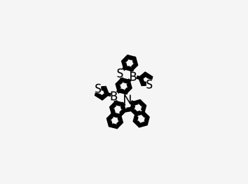 c1ccc2c(c1)Sc1cc3c(cc1B2c1ccsc1)-n1c2ccc4ccccc4c2c2c4ccccc4cc(c21)B3c1ccsc1